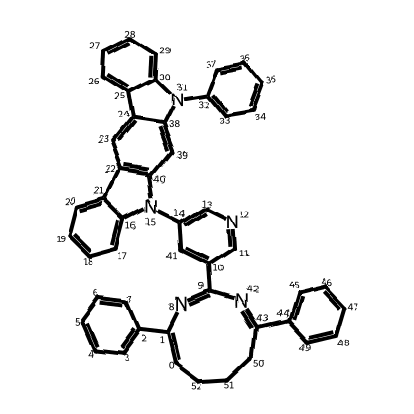 C1=C(c2ccccc2)/N=C(c2cncc(-n3c4ccccc4c4cc5c6ccccc6n(-c6ccccc6)c5cc43)c2)\N=C(\c2ccccc2)CCC\1